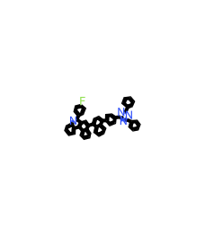 Fc1ccc(-c2nc3ccccc3c3c2cc(-c2ccc(-c4ccc(-c5nc(-c6ccccc6)nc(-c6ccccc6)n5)cc4)c4ccccc24)c2ccccc23)cc1